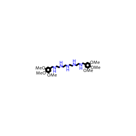 COc1cc(CNCCNCCNCCNCCNCc2cc(OC)c(OC)c(OC)c2)cc(OC)c1OC